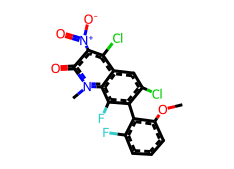 COc1cccc(F)c1-c1c(Cl)cc2c(Cl)c([N+](=O)[O-])c(=O)n(C)c2c1F